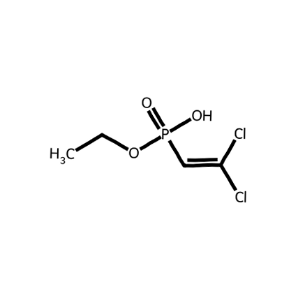 CCOP(=O)(O)C=C(Cl)Cl